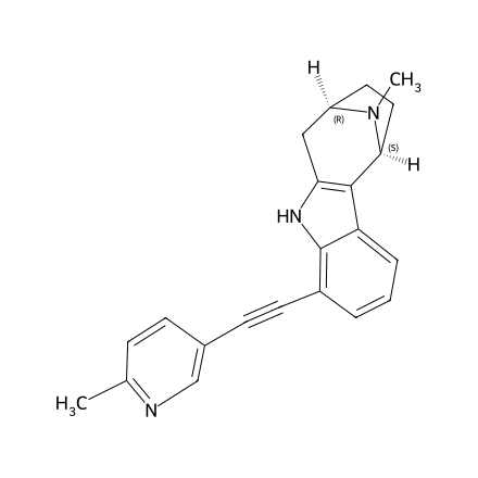 Cc1ccc(C#Cc2cccc3c4c([nH]c23)C[C@H]2CC[C@@H]4N2C)cn1